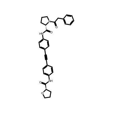 O=C(Nc1ccc(C#Cc2ccc(NC(=O)[C@@H]3CCCN3C(=O)Cc3ccccc3)cc2)cc1)[C@H]1CCCO1